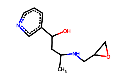 CC(CC(O)c1cccnc1)NCC1CO1